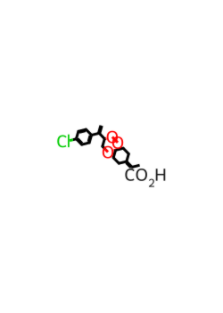 C=C(c1ccc(Cl)cc1)C1COC2(CCC(=C(C)C(=O)O)CC2)OO1